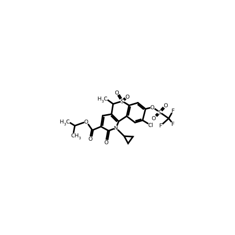 CC(C)OC(=O)c1cc2c(n(C3CC3)c1=O)-c1cc(Cl)c(OS(=O)(=O)C(F)(F)F)cc1S(=O)(=O)C2C